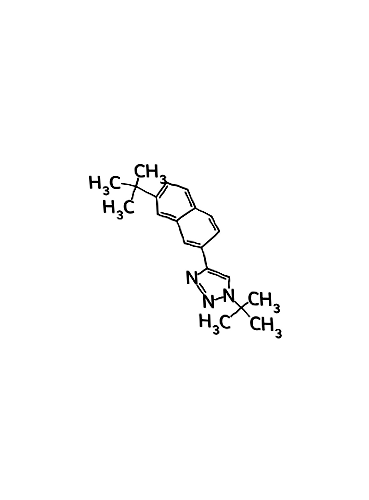 CC(C)(C)c1ccc2ccc(-c3cn(C(C)(C)C)nn3)cc2c1